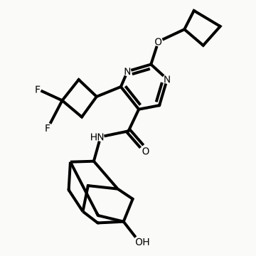 O=C(NC1C2CC3CC1CC(O)(C3)C2)c1cnc(OC2CCC2)nc1C1CC(F)(F)C1